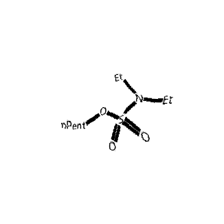 CCCCCOS(=O)(=O)N(CC)CC